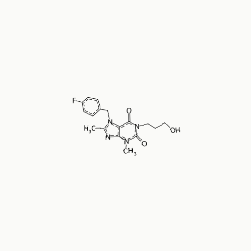 Cc1nc2c(c(=O)n(CCCO)c(=O)n2C)n1Cc1ccc(F)cc1